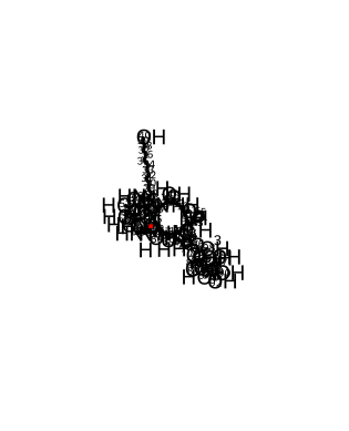 CC(c1ccccc1)C1NC(=O)CNC(=O)C(CO)NC(=O)C(C(O)C2CN(CCCCCCCCCCCCO)C(=N)N2C2OC(CO)C(O)C(O)C2O)NC(=O)C(C(O)C2CNC(=N)N2)NC(=O)C(Cc2ccc(OC3OC(CO)C(OC4OC(CO)C(O)C(O)C4O)C(O)C3O)cc2)NC1=O